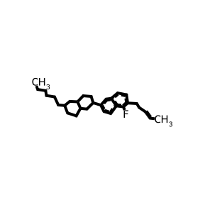 CC=CCCc1ccc2cc(C3CCC4CC(CCCCCC)CCC4C3)ccc2c1F